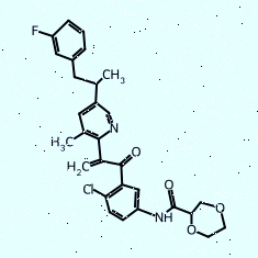 C=C(C(=O)c1cc(NC(=O)C2COCCO2)ccc1Cl)c1ncc(C(C)Cc2cccc(F)c2)cc1C